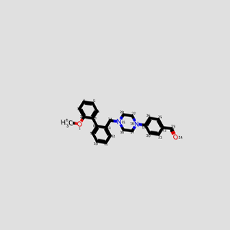 COc1ccccc1-c1ccccc1CN1CCN(c2ccc([C]=O)cc2)CC1